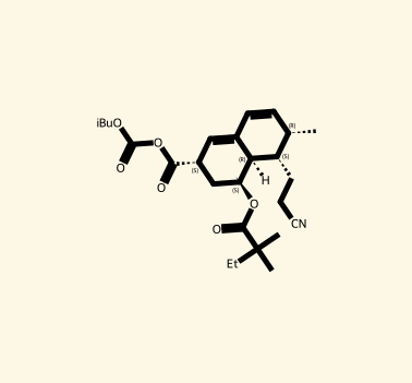 CCC(C)(C)C(=O)O[C@H]1C[C@H](C(=O)OC(=O)OCC(C)C)C=C2C=C[C@H](C)[C@H](CCC#N)[C@H]21